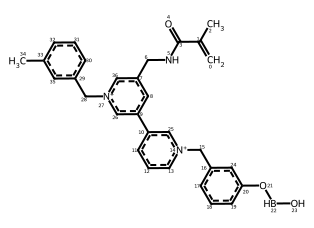 C=C(C)C(=O)NCc1cc(-c2ccc[n+](Cc3cccc(OBO)c3)c2)c[n+](Cc2cccc(C)c2)c1